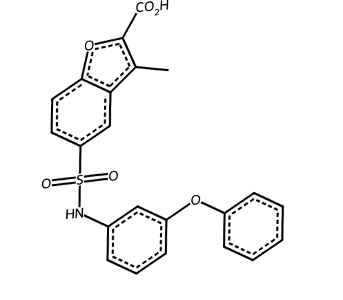 Cc1c(C(=O)O)oc2ccc(S(=O)(=O)Nc3cccc(Oc4ccccc4)c3)cc12